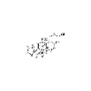 C[C@]12CCC(O)C=C1C=C[C@@H]1[C@@H]2CC[C@@]2(C)[C@H]1CC[C@@]21CCCO1